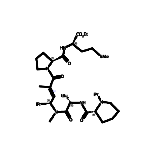 CCOC(=O)[C@@H](CCSC)NC(=O)[C@@H]1CCCN1C(=O)/C(C)=C/[C@H](C(C)C)N(C)C(=O)[C@@H](NC(=O)[C@H]1CCCCN1C(C)C)C(C)(C)C